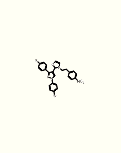 O=[N+]([O-])c1ccc(CCN2C=COC2c2cn(-c3ccc(Br)cc3)nc2-c2ccc(F)cc2)cc1